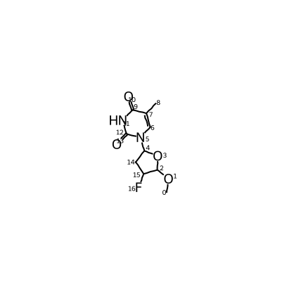 COC1OC(n2cc(C)c(=O)[nH]c2=O)CC1F